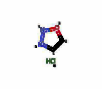 Cl.c1conn1